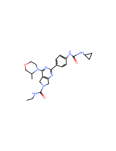 CCNC(=O)N1Cc2nc(-c3ccc(NC(=O)NC4CC4)cc3)nc(N3CCOCC3C)c2C1